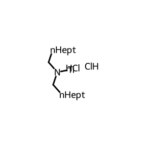 CCCCCCCC[N]([Ti])CCCCCCCC.Cl.Cl